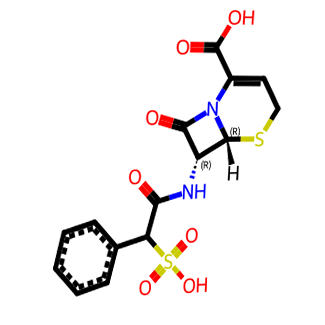 O=C(O)C1=CCS[C@@H]2[C@H](NC(=O)C(c3ccccc3)S(=O)(=O)O)C(=O)N12